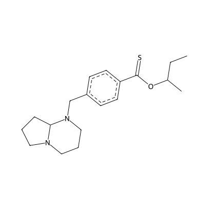 CCC(C)OC(=S)c1ccc(CN2CCCN3CCCC32)cc1